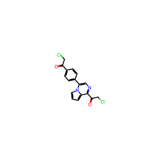 O=C(CCl)c1ccc(-c2cnc(C(=O)CCl)c3cccn23)cc1